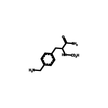 NCc1ccc(CC(NC(=O)O)C(N)=O)cc1